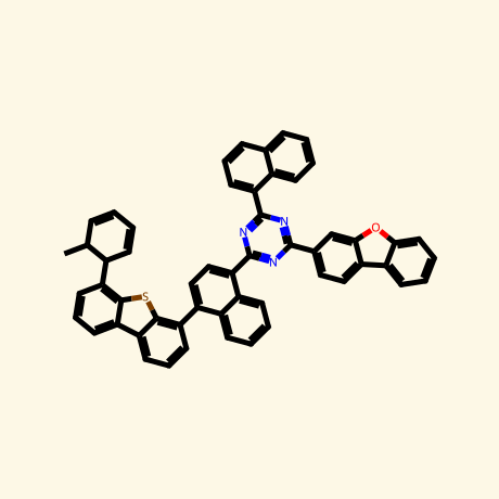 CC1C=CC=CC1c1cccc2c1sc1c(-c3ccc(-c4nc(-c5ccc6c(c5)oc5ccccc56)nc(-c5cccc6ccccc56)n4)c4ccccc34)cccc12